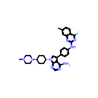 Cc1ccc2c(F)nc(Nc3ccc(-c4cn([C@H]5CC[C@H](N6CCN(C)CC6)CC5)c5ncnc(N)c45)cc3)nc2c1